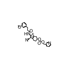 COc1cccc(CCC(=O)Nc2sc3c(c2C#N)CCC(OC(=O)OCc2cccnc2)C3)c1